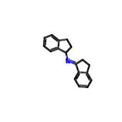 c1ccc2c(c1)CCC2=NC1CCc2ccccc21